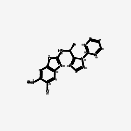 CSc1cc2oc(N[C@@H](C)c3ncnn3-c3ncccn3)nc2cc1Cl